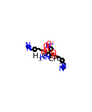 CC1=C(C(=O)OCC=Cc2ccc(Cn3ccnc3)cc2)C(c2cccc([N+](=O)[O-])c2)C(C(=O)OCC=Cc2ccc(Cn3ccnc3)cc2)=C(C)N1